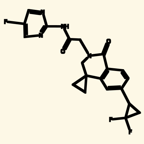 O=C(CN1CC2(CC2)c2cc(C3CC3(F)F)ccc2C1=O)Nc1ncc(F)cn1